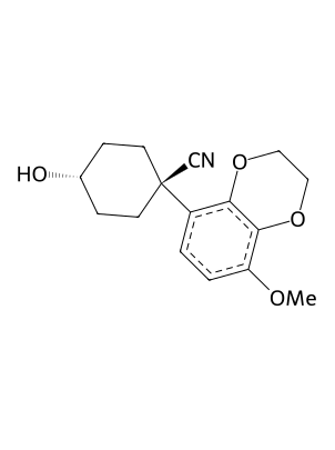 COc1ccc([C@]2(C#N)CC[C@H](O)CC2)c2c1OCCO2